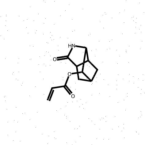 C=CC(=O)OC1C2CC3C(=O)NC1C3C2